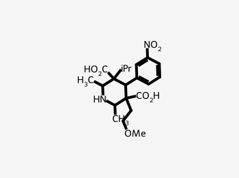 COCCC1(C(=O)O)C(C)NC(C)C(C(=O)O)(C(C)C)C1c1cccc([N+](=O)[O-])c1